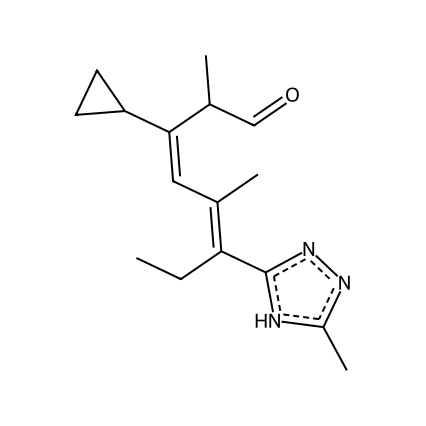 CC/C(=C(C)\C=C(/C(C)C=O)C1CC1)c1nnc(C)[nH]1